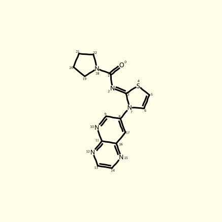 O=C(/N=c1\sccn1-c1cnc2nccnc2c1)N1CCCC1